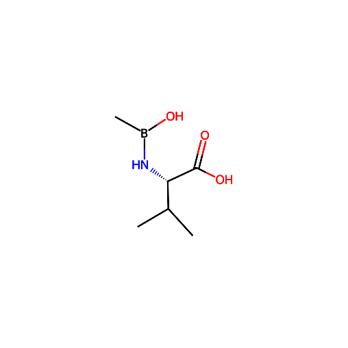 CB(O)N[C@H](C(=O)O)C(C)C